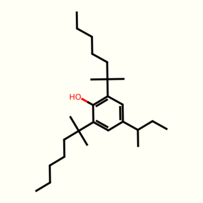 CCCCCC(C)(C)c1cc(C(C)CC)cc(C(C)(C)CCCCC)c1O